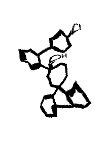 OC1(c2ccccc2-c2ccc(Cl)cc2)CCC2(CC1)c1ccccc1-c1ccccc12